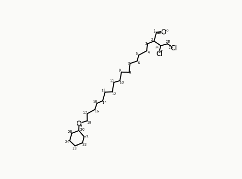 O=[C]C(CCCCCCCCCCCCCCCCOC1CC[CH]CC1)C(Cl)CCl